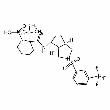 CC(C)(C)[C@]1(C(=O)N[C@@H]2CC[C@H]3CN(S(=O)(=O)c4cccc(C(F)(F)F)c4)C[C@H]32)CCCCN1C(=O)O